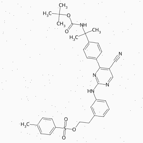 Cc1ccc(S(=O)(=O)OCCc2cccc(Nc3ncc(C#N)c(-c4ccc(C(C)(C)NC(=O)OC(C)(C)C)cc4)n3)c2)cc1